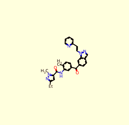 CCc1cc(C(=O)Nc2cc(C(=O)c3ccc4cnn(C=Cc5ccccn5)c4c3)ccc2C)n(C)n1